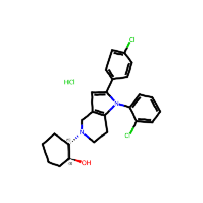 Cl.O[C@H]1CCCC[C@@H]1N1CCc2c(cc(-c3ccc(Cl)cc3)n2-c2ccccc2Cl)C1